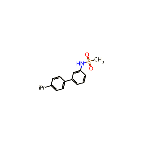 CC(C)c1ccc(-c2cccc(NS(C)(=O)=O)c2)cc1